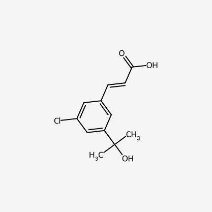 CC(C)(O)c1cc(Cl)cc(C=CC(=O)O)c1